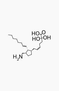 CCCCCC/C=C/[C@H]1[C@H](CN)CC[C@@H]1C/C=C\CCC(O)(O)C(=O)O